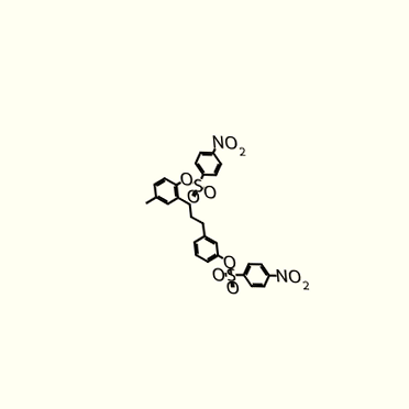 Cc1ccc(OS(=O)(=O)c2ccc([N+](=O)[O-])cc2)c(CCCc2cccc(OS(=O)(=O)c3ccc([N+](=O)[O-])cc3)c2)c1